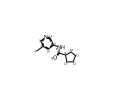 Cc1cncc(NC(=O)C2CCCC2)c1